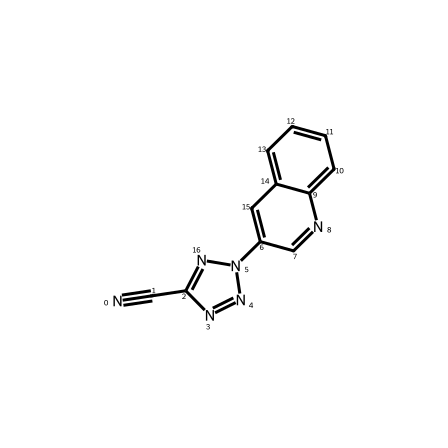 N#Cc1nnn(-c2cnc3ccccc3c2)n1